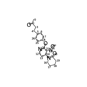 CC(=O)CCc1ccc(Oc2nccc(N3CCCCC3)c2[N+](=O)[O-])cc1